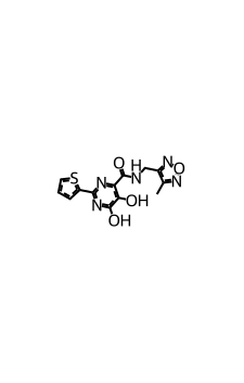 Cc1nonc1CNC(=O)c1nc(-c2cccs2)nc(O)c1O